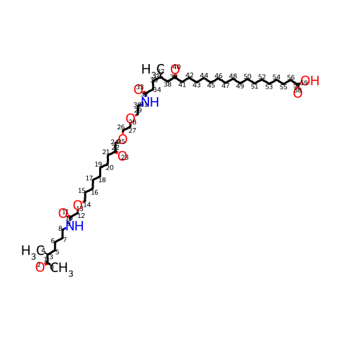 CC(=O)[C@@H](C)CCCCNC(=O)COCCCCCCCCC(=O)COCCOCCNC(=O)CC[C@@H](C)CC(=O)CCCCCCCCCCCCCCCCC(=O)O